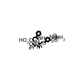 CC(C)[C@@H](C(=O)NC(Cc1c[nH]c2ccccc12)C(=O)O)n1cc(COc2ccc3nc(S(N)(=O)=O)sc3c2)nn1